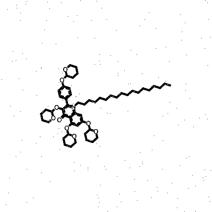 CCCCCCCCCCCCCCCCCCn1c(-c2ccc(OC3CCCCO3)cc2)c(OC2CCCCO2)c(=O)c2c(OC3CCCCO3)cc(OC3CCCCO3)cc21